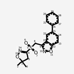 CC1(C)CC(S(=O)(=O)Cc2noc3ccc(-c4ccccc4)cc23)=NO1